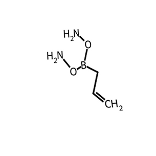 C=CCB(ON)ON